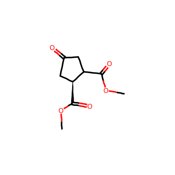 COC(=O)C1CC(=O)C[C@@H]1C(=O)OC